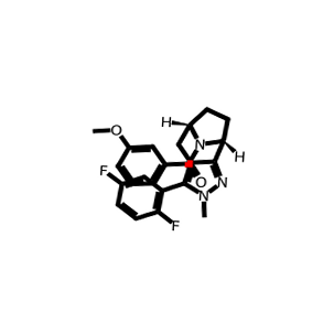 COc1cccc(C(=O)N2[C@H]3CC[C@@H]2c2nn(C)c(-c4cc(F)ccc4F)c2C3)c1